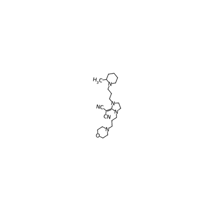 CC1CCCCN1CCCN1CCN(CCCN2CCOCC2)C1=C(C#N)C#N